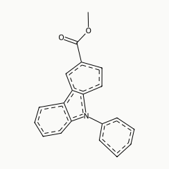 COC(=O)c1ccc2c(c1)c1ccccc1n2-c1ccccc1